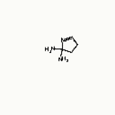 NC1(N)CCC=N1